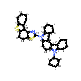 c1ccc(-n2c3ccccc3c3c4c5ccccc5n(-c5nc6c(ccc7sc8ccccc8c76)s5)c4ccc32)cc1